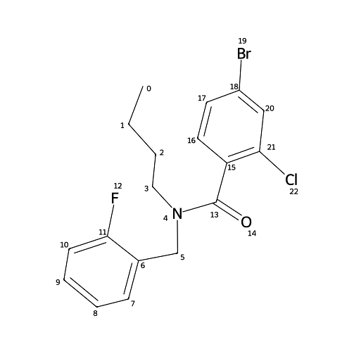 CCCCN(Cc1ccccc1F)C(=O)c1ccc(Br)cc1Cl